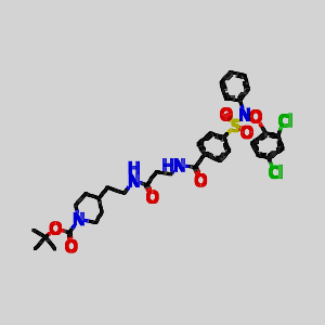 CC(C)(C)OC(=O)N1CCC(CCNC(=O)CCNC(=O)c2ccc(S(=O)(=O)N(Oc3ccc(Cl)cc3Cl)c3ccccc3)cc2)CC1